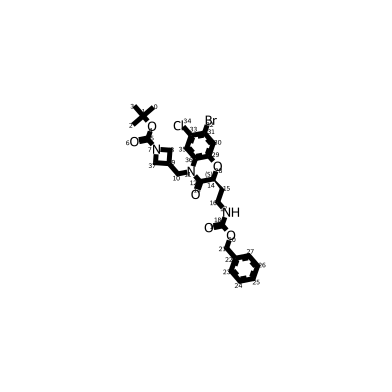 CC(C)(C)OC(=O)N1CC(CN2C(=O)[C@H](CCNC(=O)OCc3ccccc3)Oc3cc(Br)c(Cl)cc32)C1